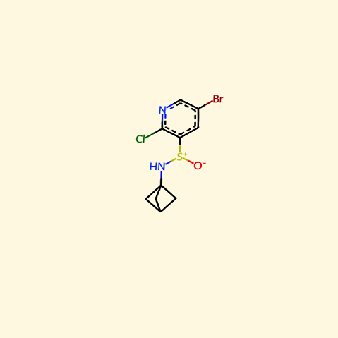 [O-][S+](NC12CC(C1)C2)c1cc(Br)cnc1Cl